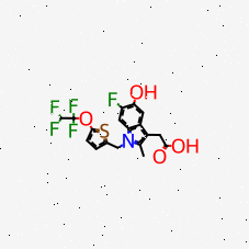 Cc1c(CC(=O)O)c2cc(O)c(F)cc2n1Cc1ccc(OC(F)(F)C(F)F)s1